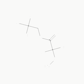 CC(C)(ON)C(=O)OCC(Cl)(Cl)Cl